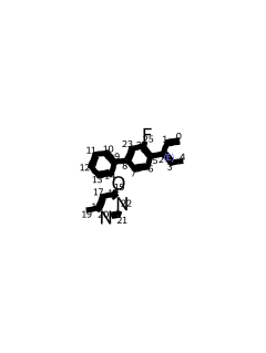 C=C/C(=C\C)c1ccc(-c2ccccc2Oc2cc(C)ncn2)cc1F